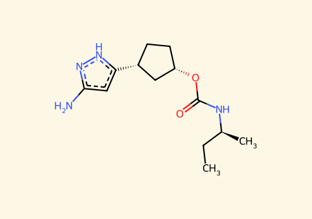 CC[C@H](C)NC(=O)O[C@H]1CC[C@@H](c2cc(N)n[nH]2)C1